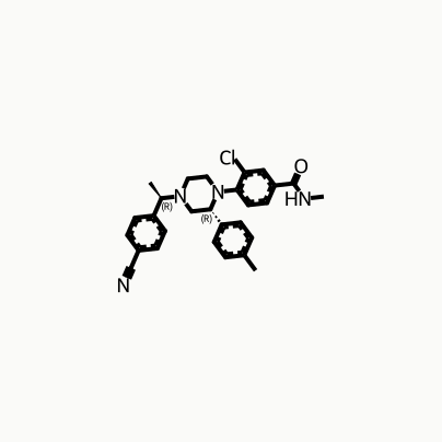 CNC(=O)c1ccc(N2CCN([C@H](C)c3ccc(C#N)cc3)C[C@H]2c2ccc(C)cc2)c(Cl)c1